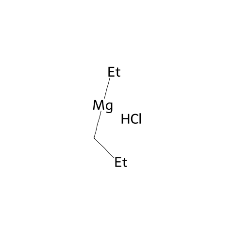 CC[CH2][Mg][CH2]C.Cl